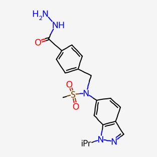 CC(C)n1ncc2ccc(N(Cc3ccc(C(=O)NN)cc3)S(C)(=O)=O)cc21